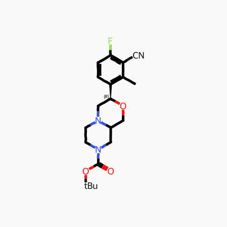 Cc1c([C@@H]2CN3CCN(C(=O)OC(C)(C)C)CC3CO2)ccc(F)c1C#N